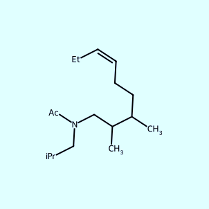 CC/C=C\CCC(C)C(C)CN(CC(C)C)C(C)=O